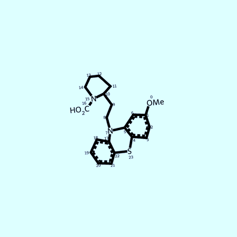 COc1ccc2c(c1)N(CCC1CCCCN1C(=O)O)c1ccccc1S2